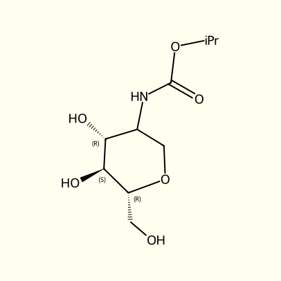 CC(C)OC(=O)NC1CO[C@H](CO)[C@@H](O)[C@@H]1O